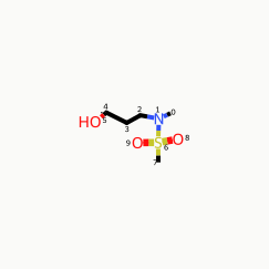 CN(CC[CH]O)S(C)(=O)=O